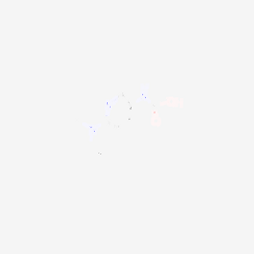 C[C@H]1CCCCN1c1ccc(NC(=O)O)cn1